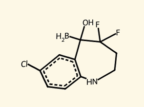 BC1(O)c2cc(Cl)ccc2NCCC1(F)F